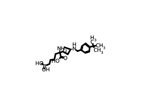 CC(C)(C)c1ccc(CN[C@H]2C[C@H]([C@@](N)(CCCCB(O)O)C(=O)O)C2)cc1